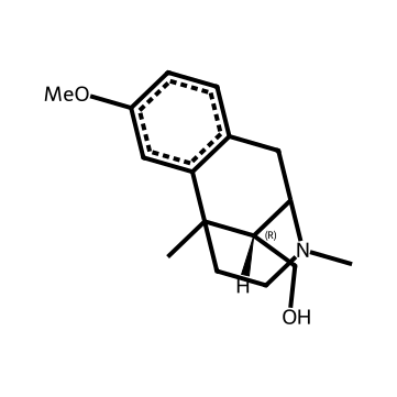 COc1ccc2c(c1)C1(C)CCN(C)C(C2)[C@@H]1CO